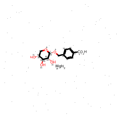 O=C(O)c1ccc(CO[C@H]2OC[C@@H](O)[C@H](O)[C@H]2O)cc1.[MgH2]